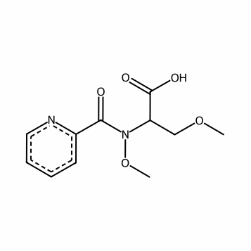 COCC(C(=O)O)N(OC)C(=O)c1ccccn1